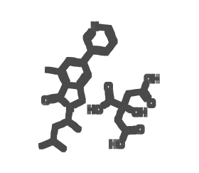 Cc1cc(-c2cccnc2)cc2c1C(=O)N(C(C)CC(C)C)C2.O=C(O)CC(O)(CC(=O)O)C(=O)O